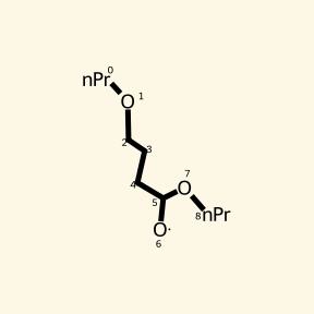 CCCOCCCC([O])OCCC